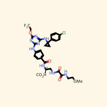 COCCNC(=O)C(=O)NC[C@H](NC(=O)c1ccc(Nc2nc(NC3(c4ccc(Cl)cc4)CC3)nc(OCC(F)(F)F)n2)cc1)C(=O)O